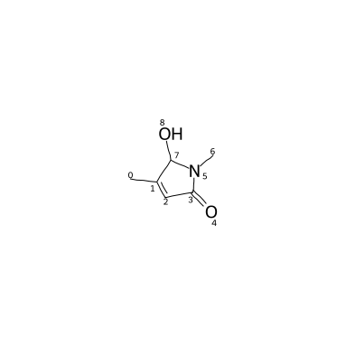 CC1=CC(=O)N(C)C1O